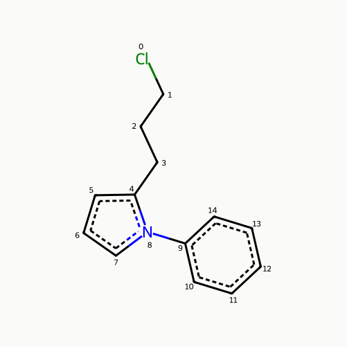 ClCCCc1cccn1-c1ccccc1